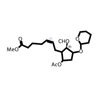 COC(=O)CCC/C=C\CC1C(OC(C)=O)CC(OC2CCCCO2)[C@@H]1C=O